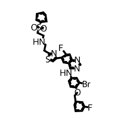 O=S(=O)(CCNCCc1nc(-c2cc3c(Nc4ccc(OCc5cccc(F)c5)c(Br)c4)ncnc3cc2F)cs1)c1ccccc1